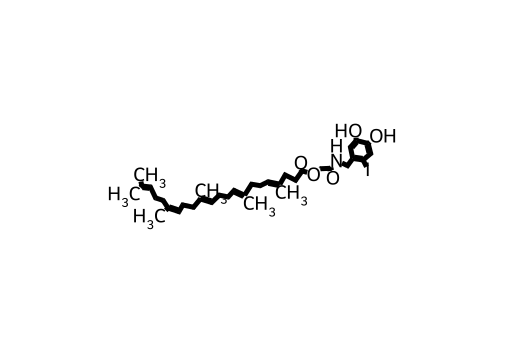 CC(C)=CCC/C(C)=C\CC/C(C)=C/CC/C=C(\C)CC/C=C(\C)CCC(=O)OCC(=O)NCc1cc(O)c(O)cc1I